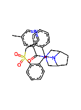 Cc1cncc(C(=O)N2CC3CCC(C2)N3C2c3ccccc3CS(=O)(=O)c3ccccc32)c1